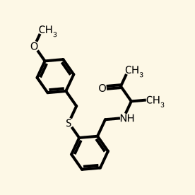 COc1ccc(CSc2ccccc2CNC(C)C(C)=O)cc1